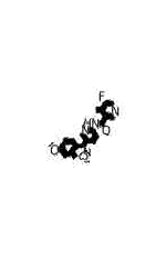 CON=C(c1ccc(NC(=O)c2cncc(F)c2C)nc1)c1ccc(OC)cc1C